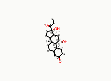 CCC(=O)[C@@]1(O)CCC2[C@@H]3CCC4=CC(=O)CC[C@]4(C)C3[C@@H](O)C[C@@]21C